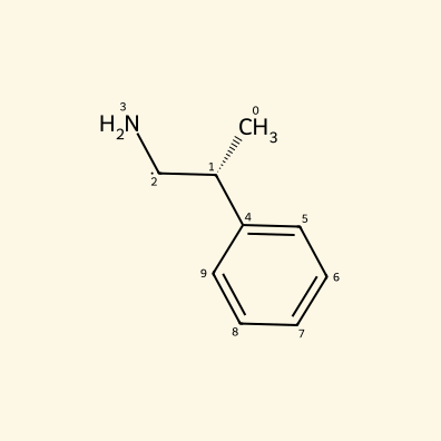 C[C@@H]([CH]N)c1ccccc1